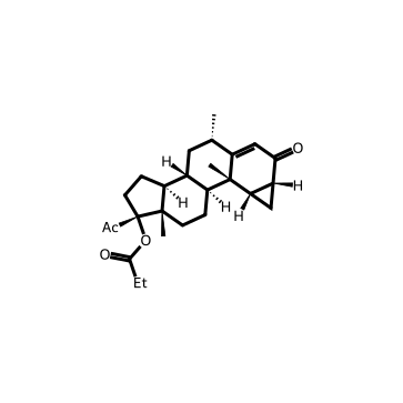 CCC(=O)O[C@]1(C(C)=O)CC[C@H]2[C@@H]3C[C@H](C)C4=CC(=O)[C@@H]5C[C@@H]5[C@]4(C)[C@H]3CC[C@@]21C